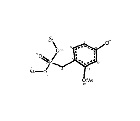 CCOP(=O)(Cc1ccc(Cl)cc1OC)OCC